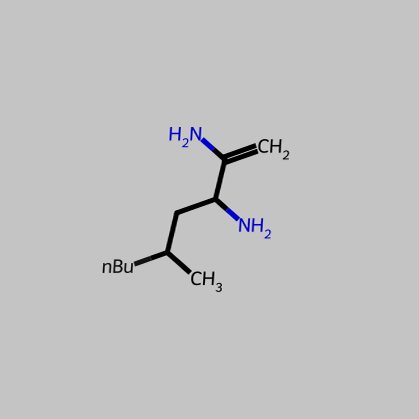 C=C(N)C(N)CC(C)CCCC